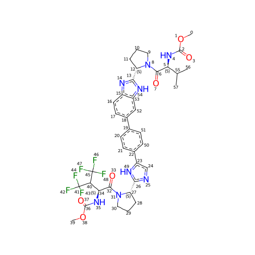 COC(=O)N[C@H](C(=O)N1CCC[C@H]1c1nc2ccc(-c3ccc(-c4cnc([C@@H]5CCCN5C(=O)[C@@H](NC(=O)OC)C(C(F)(F)F)C(F)(F)F)[nH]4)cc3)cc2[nH]1)C(C)C